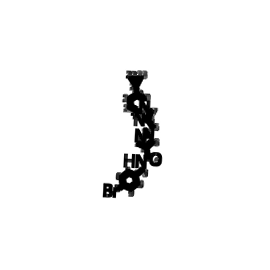 O=C(NCc1ccc(Br)cc1)c1cnn(Cc2cn3cc(C4CC4)ccc3n2)c1